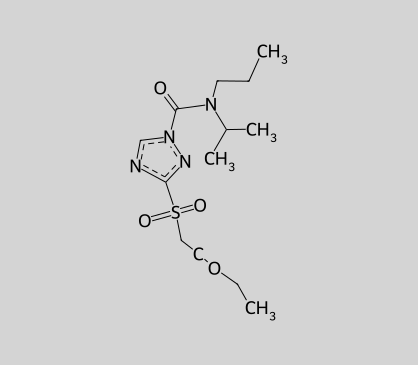 CCCN(C(=O)n1cnc(S(=O)(=O)CCOCC)n1)C(C)C